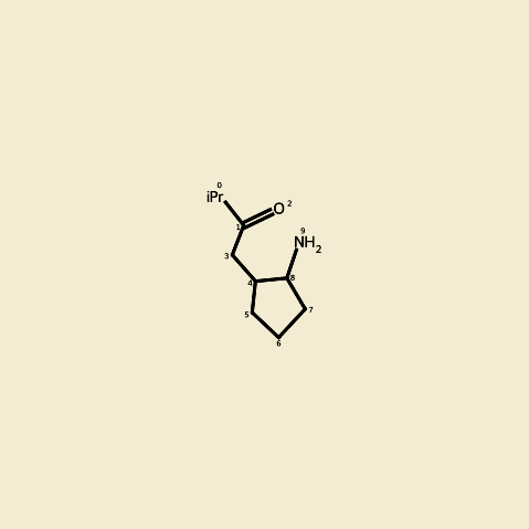 CC(C)C(=O)CC1CCCC1N